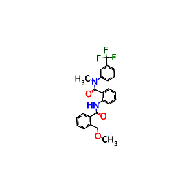 COCc1ccccc1C(=O)Nc1ccccc1C(=O)N(C)c1cccc(C(F)(F)F)c1